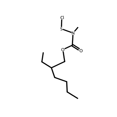 CCCCC(CC)COC(=O)N(C)SCl